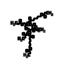 C=CC(=O)OCCCCCC(=O)OCC(COCC(COC(=O)C=C)(COC(=O)C=C)COC(=O)CCCCCOC(=O)C=C)(COC(=O)C=C)COC(=O)C=C